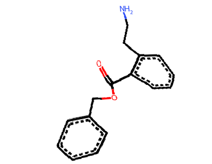 NCCc1ccccc1C(=O)OCc1ccccc1